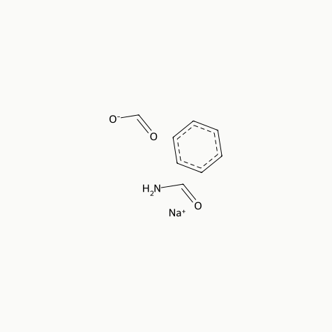 NC=O.O=C[O-].[Na+].c1ccccc1